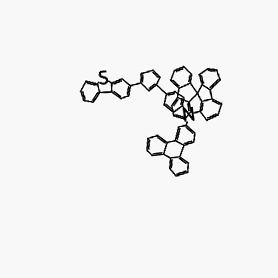 c1cc(-c2ccc(N(c3ccc4c5ccccc5c5ccccc5c4c3)c3cccc4c3C3(c5ccccc5-c5ccccc53)c3ccccc3-4)cc2)cc(-c2ccc3c(c2)sc2ccccc23)c1